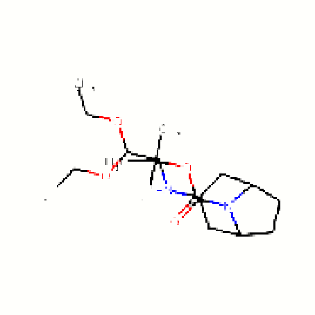 CCOC(CNC1CC2CCC(C1)N2C(=O)OC(C)(C)C)OCC